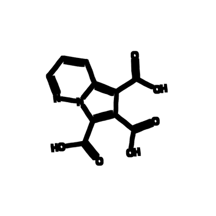 O=C(O)c1c(C(=O)O)c2cccnn2c1C(=O)O